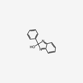 OC1(c2ccccc2)N=c2ccccc2=N1